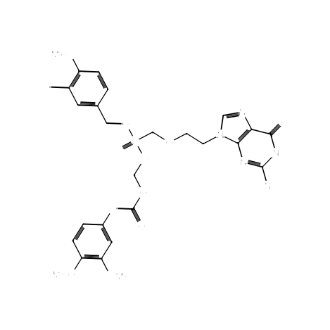 COc1ccc(COP(=O)(COCCn2cnc3c(=O)[nH]c(N)nc32)OCOC(=O)Oc2ccc(OC)c(OC)c2)cc1Cl